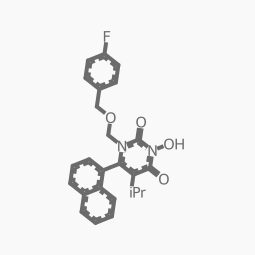 CC(C)c1c(-c2cccc3ccccc23)n(COCc2ccc(F)cc2)c(=O)n(O)c1=O